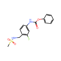 CS(=O)(=O)NCc1ccc(NC(=O)Oc2ccccc2)cc1F